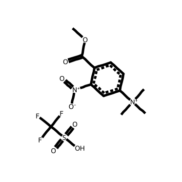 COC(=O)c1ccc([N+](C)(C)C)cc1[N+](=O)[O-].O=S(=O)(O)C(F)(F)F